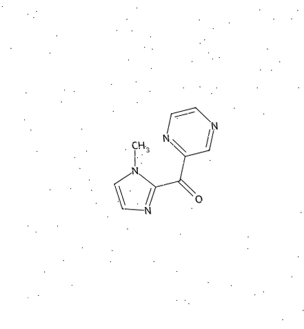 Cn1ccnc1C(=O)c1cnccn1